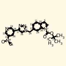 CC(C)(C)OC(=O)n1ccc2ccc(Cn3cc(-c4cncc([N+](=O)[O-])c4)nn3)cc21